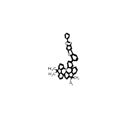 CC1(C)c2ccccc2-c2c(N(c3ccc(-c4cccc5c4oc4cc6oc(-c7ccccc7)nc6cc45)cc3)c3cccc4c3-c3ccccc3C4(C)C)cccc21